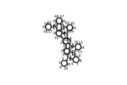 c1ccc(N2c3ccccc3B3c4ccccc4-n4c5nc6c(cc5c5ccc2c3c54)c2ccc3c4c2n6-c2ccccc2B4c2ccccc2N3c2ccccc2)cc1